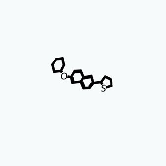 c1cc2cc(C3CCCS3)ccc2cc1OC1CCCCC1